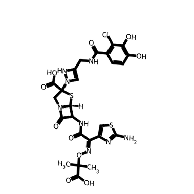 CC(C)(O/N=C(\C(=O)NC1C(=O)N2CC(C(=O)O)(n3cc(CNC(=O)c4ccc(O)c(O)c4Cl)[nH]3)S[C@H]12)c1csc(N)n1)C(=O)O